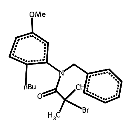 CCCCc1ccc(OC)cc1N(Cc1ccccc1)C(=O)C(C)(C)Br